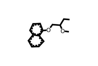 CCC(COc1cccc2ccccc12)OC